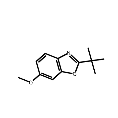 COc1ccc2nc(C(C)(C)C)oc2c1